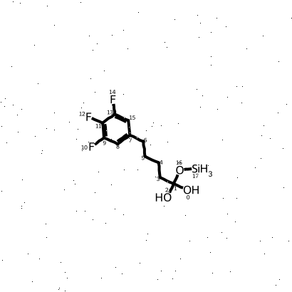 OC(O)(CCCCc1cc(F)c(F)c(F)c1)O[SiH3]